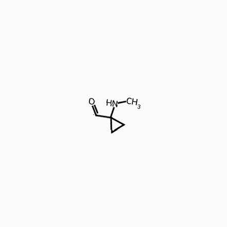 CNC1([C]=O)CC1